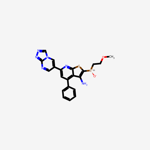 COCC[S@+]([O-])c1sc2nc(-c3cnc4nncn4c3)cc(-c3ccccc3)c2c1N